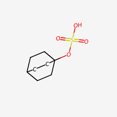 O=S(=O)(O)OC12CCC(CC1)CC2